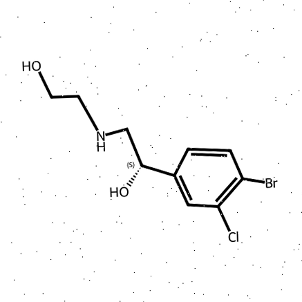 OCCNC[C@@H](O)c1ccc(Br)c(Cl)c1